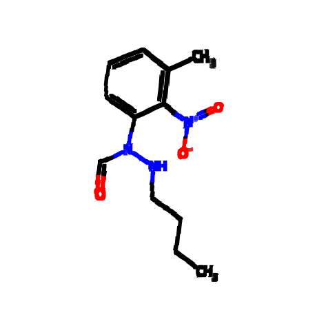 CCCCNN(C=O)c1cccc(C)c1[N+](=O)[O-]